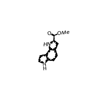 COC(=O)c1cc2ccc3[nH]ccc3c2[nH]1